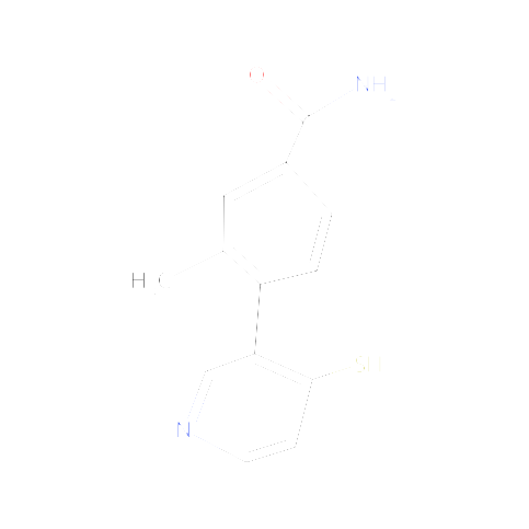 Cc1cc(C(N)=O)ccc1-c1cnccc1S